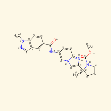 Cn1ncc2cc(C(=O)Nc3ccc4nc([C@@]5(C)CCCN5C(=O)OC(C)(C)C)cn4c3)ccc21